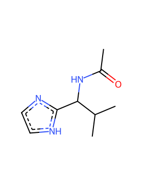 CC(=O)NC(c1ncc[nH]1)C(C)C